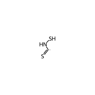 S=[C]NS